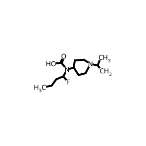 CCCC(F)N(C(=O)O)C1CCN(C(C)C)CC1